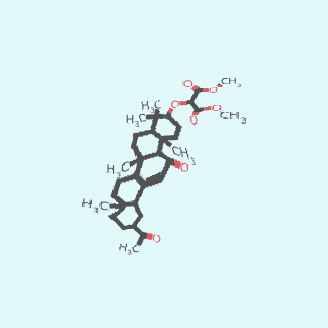 COC(=O)C(OC1CCC2(C)C(CCC3(C)C4CCC5(C)CCC(C(C)=O)CC5C4=CC(=O)C32)C1(C)C)C(=O)OC